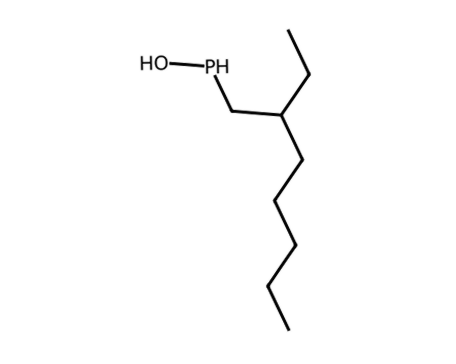 CCCCCC(CC)CPO